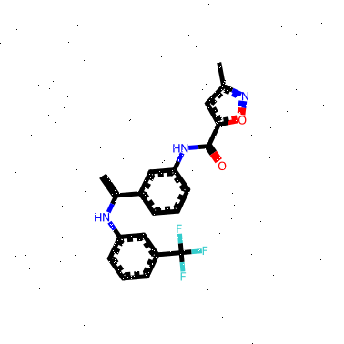 C=C(Nc1cccc(C(F)(F)F)c1)c1cccc(NC(=O)c2cc(C)no2)c1